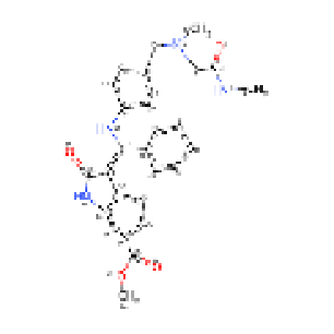 CNC(=O)CN(C)Cc1ccc(N/C(=C2\C(=O)Nc3cc(C(=O)OC)ccc32)c2ccccc2)cc1